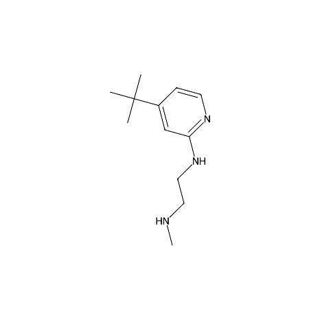 CNCCNc1cc(C(C)(C)C)ccn1